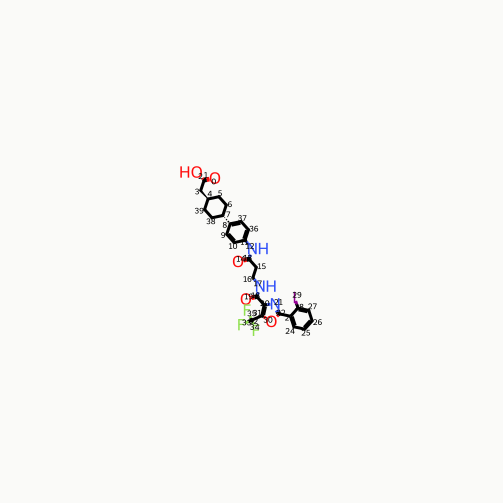 O=C(O)C[C@H]1CC[C@H](c2ccc(NC(=O)CCNC(=O)c3nc(-c4ccccc4I)oc3C(F)(F)F)cc2)CC1